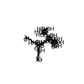 CC(=O)CCCCCNC(=O)CN(CC(=O)NCCCCCC(C)=O)CC(=O)NCCO[C@H]1O[C@H](CO[C@H]2O[C@H](CO)[C@@H](O)[C@H](O)[C@@H]2O)[C@@H](O)[C@H](O[C@H]2O[C@H](CO)[C@@H](O)[C@H](O)[C@@H]2O)[C@@H]1O